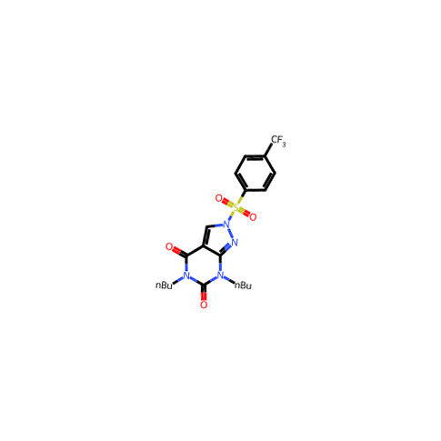 CCCCn1c(=O)c2cn(S(=O)(=O)c3ccc(C(F)(F)F)cc3)nc2n(CCCC)c1=O